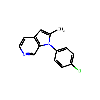 Cc1cc2ccncc2n1-c1ccc(Cl)cc1